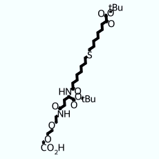 CC(C)(C)OC(=O)C(=O)CCCCCCCSCCCCCCCC(=O)NC(CCC(=O)NCCOCCOCC(=O)O)C(=O)OC(C)(C)C